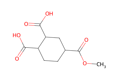 COC(=O)C1CCC(C(=O)O)C(C(=O)O)C1